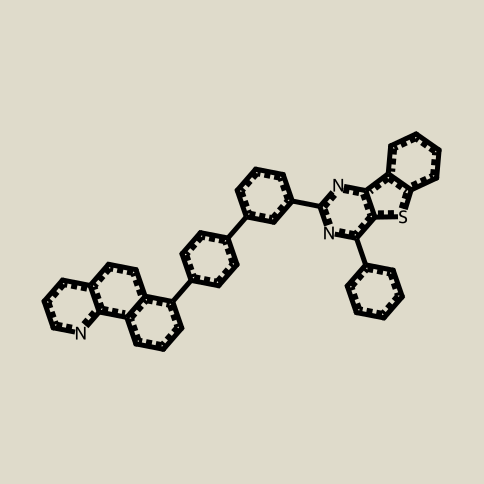 c1ccc(-c2nc(-c3cccc(-c4ccc(-c5cccc6c5ccc5cccnc56)cc4)c3)nc3c2sc2ccccc23)cc1